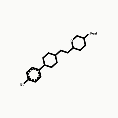 CCCCCC1CCC(CCC2CCC(c3ccc(CC)cc3)CC2)OC1